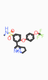 CNS(=O)(=O)c1ccc(Oc2ccc(OC(F)(F)F)cc2)c(-c2cnn3c2CCC3)c1